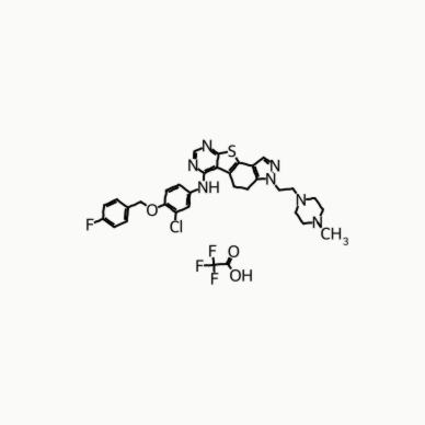 CN1CCN(CCn2ncc3c2CCc2c-3sc3ncnc(Nc4ccc(OCc5ccc(F)cc5)c(Cl)c4)c23)CC1.O=C(O)C(F)(F)F